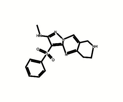 CNc1nn2cc3c(nc2c1S(=O)(=O)c1ccccc1)CCNC3